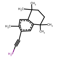 Cc1cc2c(cc1C#CP)C(C)(C)CCC2(C)C